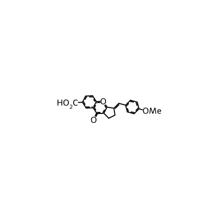 COc1ccc(/C=C2\CCc3c2oc2ccc(C(=O)O)cc2c3=O)cc1